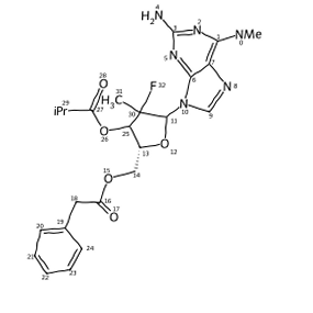 CNc1nc(N)nc2c1ncn2C1O[C@H](COC(=O)Cc2ccccc2)C(OC(=O)C(C)C)C1(C)F